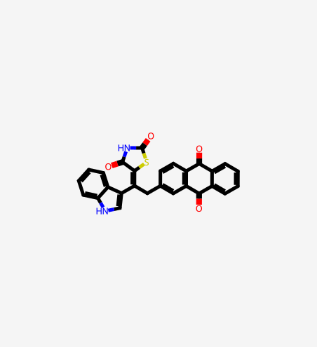 O=C1NC(=O)C(=C(Cc2ccc3c(c2)C(=O)c2ccccc2C3=O)c2c[nH]c3ccccc23)S1